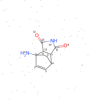 NC12C=CC(CC1)C1C(=O)NC(=O)C12